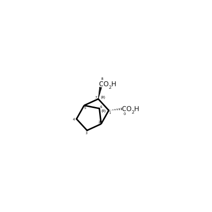 O=C(O)[C@@H]1C2CCC(C2)[C@H]1C(=O)O